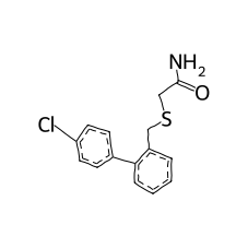 NC(=O)CSCc1ccccc1-c1ccc(Cl)cc1